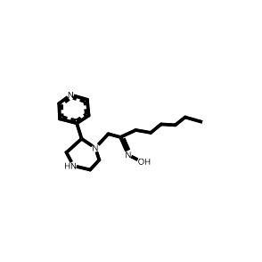 CCCCCCC(CN1CCNCC1c1ccncc1)=NO